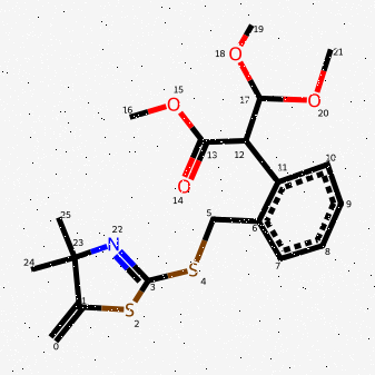 C=C1SC(SCc2ccccc2C(C(=O)OC)C(OC)OC)=NC1(C)C